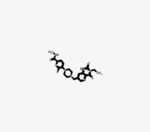 CCn1c(=O)[nH]c2cc(CN3CCN(c4ccc(C(=O)NC)nc4F)CC3)cnc2c1=S